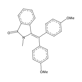 COc1ccc(C(=C2c3ccccc3C(=O)N2C)c2ccc(OC)cc2)cc1